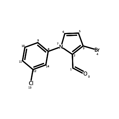 O=Cc1c(Br)ccn1-c1cccc(Cl)c1